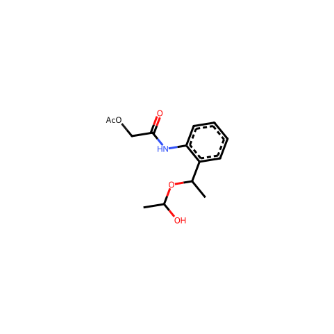 CC(=O)OCC(=O)Nc1ccccc1C(C)OC(C)O